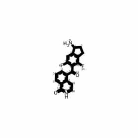 NC1CCc2c1cc(F)c(C(=O)c1cccc3c(=O)[nH]ccc13)c2F